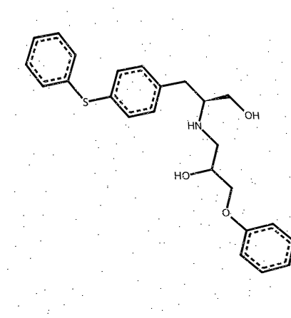 OC[C@H](Cc1ccc(Sc2ccccc2)cc1)NCC(O)COc1ccccc1